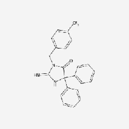 N=C1NC(c2ccccc2)(c2ccccc2)C(=O)N1Cc1ccc(C(F)(F)F)cc1